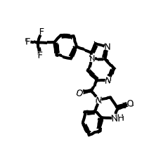 O=C1CN(C(=O)c2cn3c(-c4ccc(C(F)(F)F)cc4)cnc3cn2)c2ccccc2N1